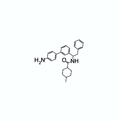 CC1CCC(C(=O)NC(Cc2ccccc2)c2cccc(-c3ccc(N)cc3)c2)CC1